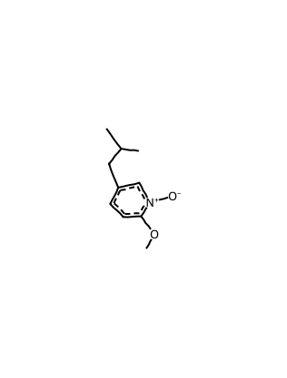 COc1ccc(CC(C)C)c[n+]1[O-]